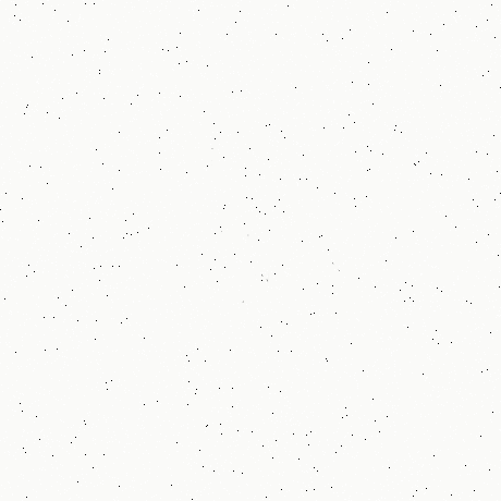 CN(C)Cn1cc(C=O)c2ccccc21